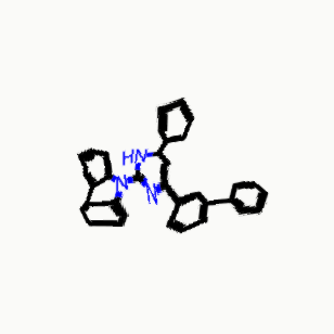 C1=C(c2cccc(-c3ccccc3)c2)N=C(n2c3ccccc3c3ccccc32)NC1c1ccccc1